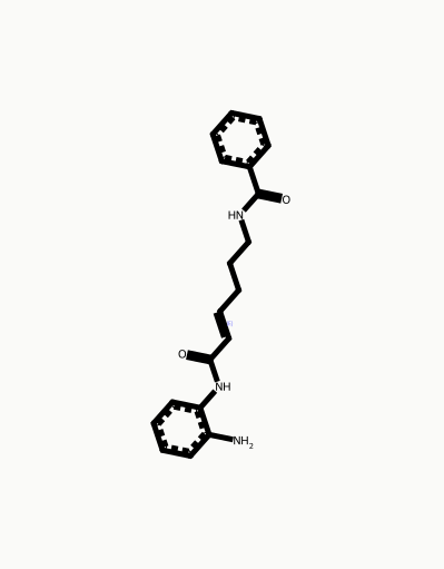 Nc1ccccc1NC(=O)/C=C/CCCNC(=O)c1ccccc1